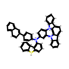 c1ccc2cc(-c3ccc(N(c4ccc5c(c4)n4c6ccccc6c6ccc7c8ccccc8n5c7c64)c4cccc5sc6ccccc6c45)cc3)ccc2c1